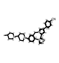 CC1CCN(C2CCN(c3ccc4c(c3)Cn3cc(-c5ccc(C#N)cc5)cc3-c3nncn3-4)CC2)CC1